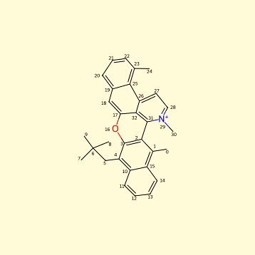 Cc1c2c(c(CC(C)(C)C)c3ccccc13)Oc1cc3cccc(C)c3c3cc[n+](C)c-2c13